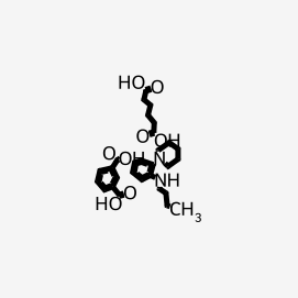 CCCCNc1ccccc1N1CCCCC1.O=C(O)CCCCC(=O)O.O=C(O)c1cccc(C(=O)O)c1